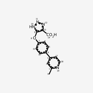 Cc1cc(-c2ccc(Oc3[nH]nnc3C(=O)O)cc2)ccn1